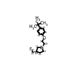 CC(C)(C)c1ccc(OCCN2CC[C@@H](CF)C2)cc1